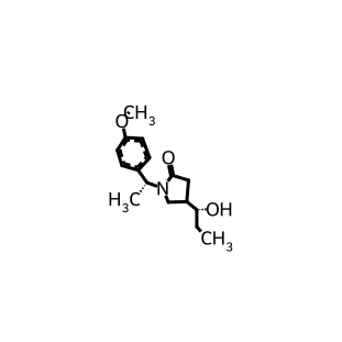 CC[C@@H](O)C1CC(=O)N([C@H](C)c2ccc(OC)cc2)C1